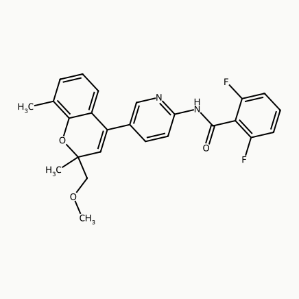 COCC1(C)C=C(c2ccc(NC(=O)c3c(F)cccc3F)nc2)c2cccc(C)c2O1